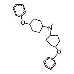 CN(C1CCC(Oc2ccccc2)CC1)C1CCC(Oc2ccccc2)CC1